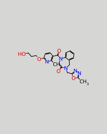 Cc1nnc(CN2Cc3ccccc3N(C(=O)c3ccc(OCCCO)nc3C)CC2=O)o1